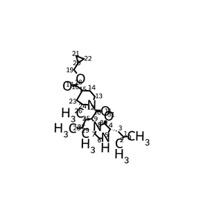 CC(C)C[C@@H]1NCCN([C@H](C(=O)N2CCC(C(=O)OCC3CC3)CC2)[C@@H](C)C(C)C)C1=O